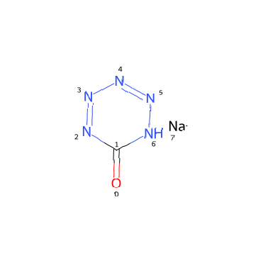 O=c1nnnn[nH]1.[Na]